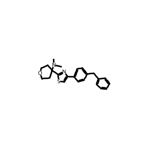 CN(C)C1(c2nc(-c3ccc(Cc4ccccc4)cc3)cs2)CCOCC1